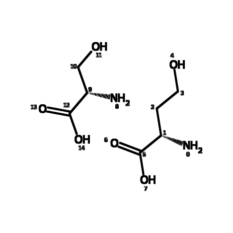 N[C@@H](CCO)C(=O)O.N[C@@H](CO)C(=O)O